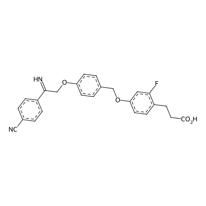 N#Cc1ccc(C(=N)COc2ccc(COc3ccc(CCC(=O)O)c(F)c3)cc2)cc1